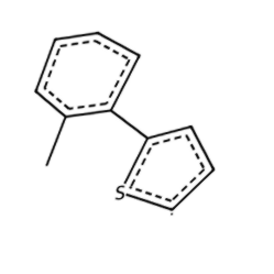 Cc1ccccc1-c1cc[c]s1